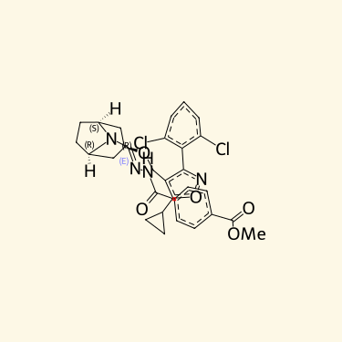 COC(=O)c1ccc(C(=O)N/N=C/N2[C@@H]3CC[C@H]2C[C@@H](OCc2c(-c4c(Cl)cccc4Cl)noc2C2CC2)C3)cc1